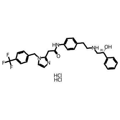 Cl.Cl.O=C(Cc1nccn1Cc1ccc(C(F)(F)F)cc1)Nc1ccc(CCNC[C@H](O)c2ccccc2)cc1